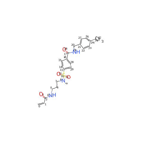 C=CC(=O)NCCCN(C)S(=O)(=O)c1ccc(C(=O)NCc2ccc(C(F)(F)F)cc2)cc1